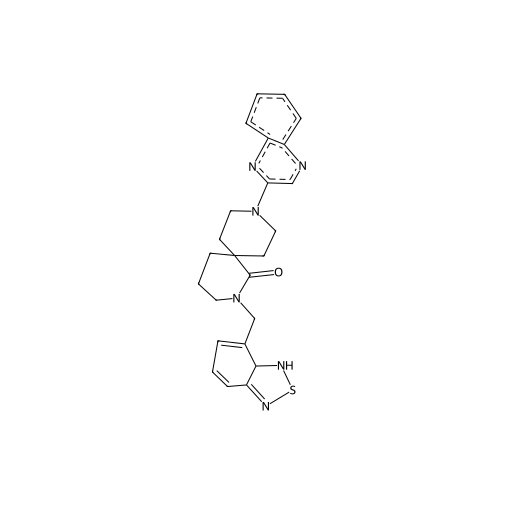 O=C1N(CC2=CC=CC3=NSNC23)CCCC12CCN(c1cnc3ccccc3n1)CC2